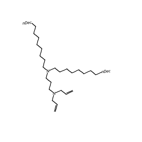 C=CCN(CC=C)CCCN(CCCCCCCCCCCCCCCCCC)CCCCCCCCCCCCCCCCCC